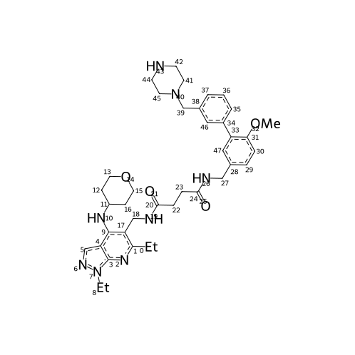 CCc1nc2c(cnn2CC)c(NC2CCOCC2)c1CNC(=O)CCC(=O)NCc1ccc(OC)c(-c2cccc(CN3CCNCC3)c2)c1